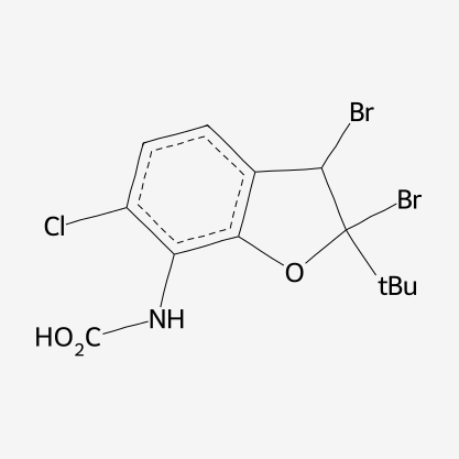 CC(C)(C)C1(Br)Oc2c(ccc(Cl)c2NC(=O)O)C1Br